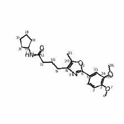 COc1ccc(-c2nc(CCCC(=O)NC3CCCC3)c(C)o2)cc1OC